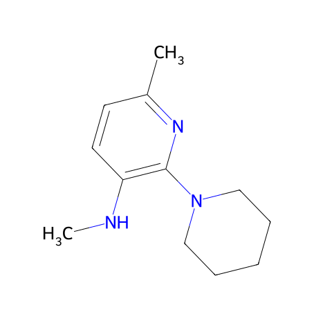 CNc1ccc(C)nc1N1CCCCC1